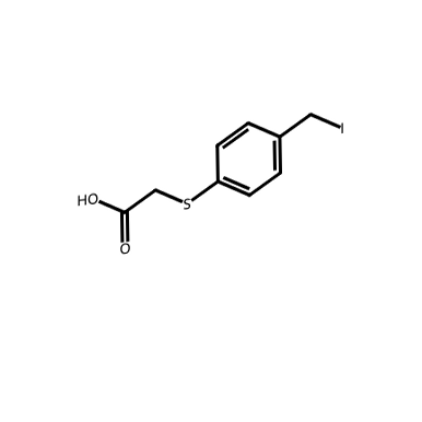 O=C(O)CSc1ccc(CI)cc1